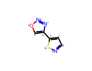 c1cc(-c2conn2)sn1